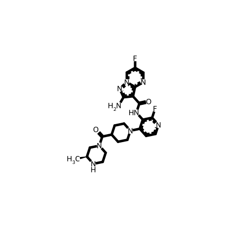 C[C@H]1CN(C(=O)C2CCN(c3ccnc(F)c3NC(=O)c3c(N)nn4cc(F)cnc34)CC2)CCN1